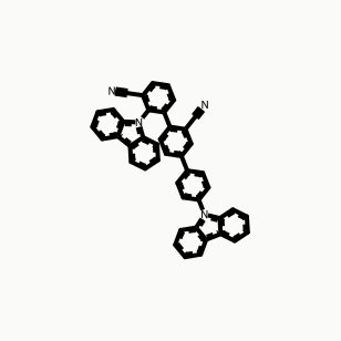 N#Cc1cc(-c2ccc(-n3c4ccccc4c4ccccc43)cc2)ccc1-c1cccc(C#N)c1-n1c2ccccc2c2ccccc21